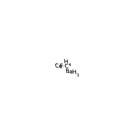 C.[BaH2].[Ce].[F]